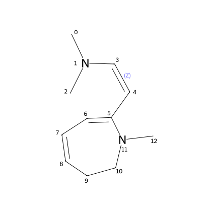 CN(C)/C=C\C1=CC=CCCN1C